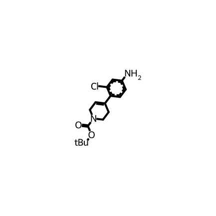 CC(C)(C)OC(=O)N1CC=C(c2ccc(N)cc2Cl)CC1